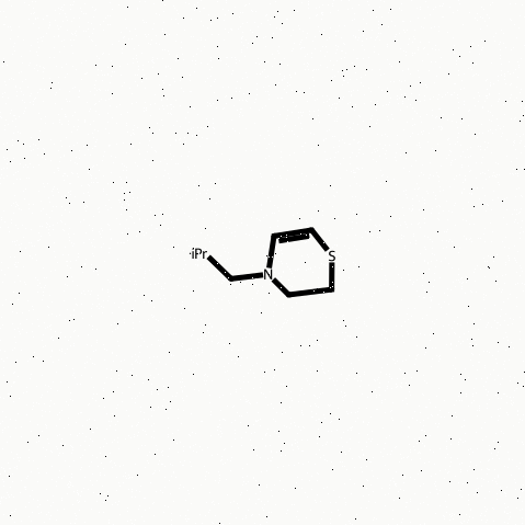 C[C](C)CN1C=CSCC1